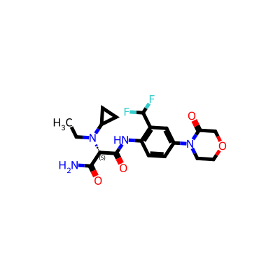 CCN(C1CC1)[C@@H](C(N)=O)C(=O)Nc1ccc(N2CCOCC2=O)cc1C(F)F